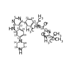 Cc1cc(-c2ncnc3[nH]c4cc(N5CCNCC5)ccc4c23)ccc1[C@@H](C)NC(=O)c1nc(C(C)(C)C)no1